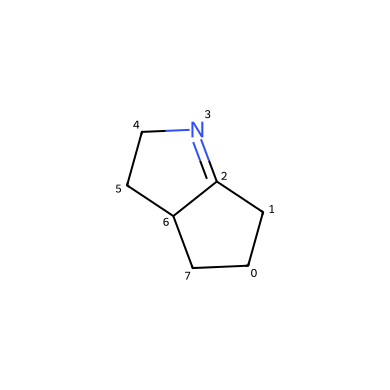 C1CC2=NCCC2C1